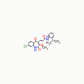 COc1c(/C=C/C(=O)Nc2ccccc2C(C)C)c(=O)c2ccc(Cl)cc2[nH]c1=O